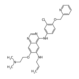 C=CCNc1cc2c(Nc3ccc(OCc4ccccn4)c(Cl)c3)ncnc2cc1OCCN(C)C